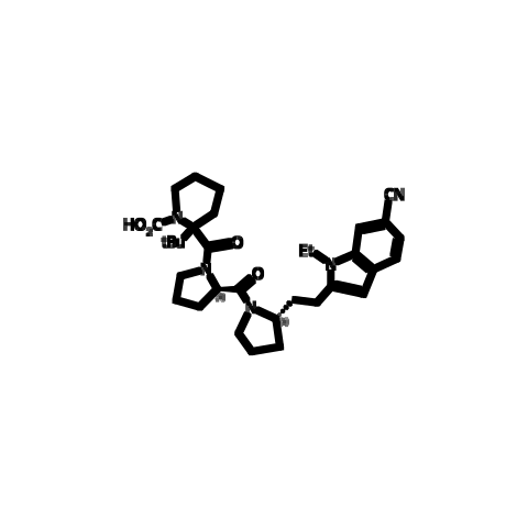 CCn1c(CC[C@@H]2CCCN2C(=O)[C@H]2CCCN2C(=O)C2(C(C)(C)C)CCCCN2C(=O)O)cc2ccc(C#N)cc21